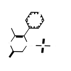 CC1=C(c2ccncc2)SCC(=O)N1.O=S(=O)(O)O